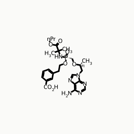 CCCOC(=O)C(C)(C)N[P@](=O)(CO[C@H](C)Cn1cnc2c(N)ncnc21)OCCc1cccc(C(=O)O)c1